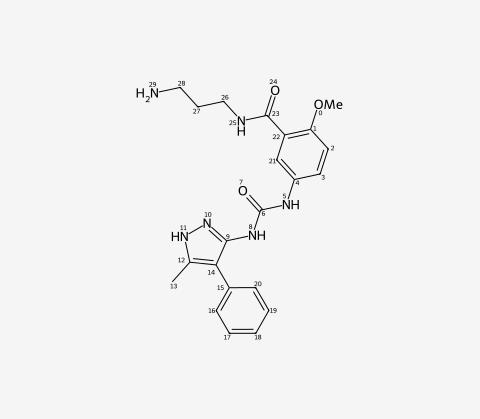 COc1ccc(NC(=O)Nc2n[nH]c(C)c2-c2ccccc2)cc1C(=O)NCCCN